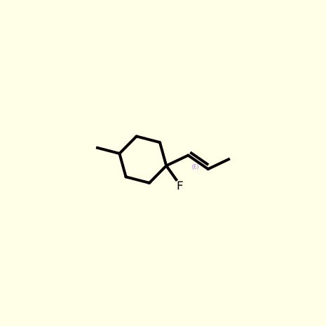 C/C=C/C1(F)CCC(C)CC1